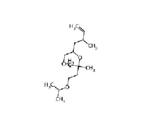 C=CC(C)CC(CC)OC(C)(C)CCOC(C)C